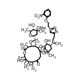 CC[C@H]1OC(=O)[C@H](C)[C@@H](OC[C@H]2C[C@@](C)(OC)[C@@H](O)[C@H](C)O2)[C@H](C)[C@@H](O[C@@H]2O[C@H](C)C[C@H](N(C)CCc3cn(CCOc4ccccc4[N+](=O)[O-])nn3)[C@H]2O)[C@](C)(O)CCC(=O)[C@H](C)[C@@H](O)[C@]1(C)O